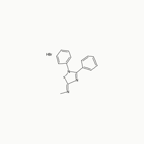 Br.CN=c1nc(-c2ccccc2)n(-c2ccccc2)s1